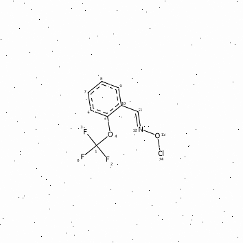 FC(F)(F)Oc1ccccc1C=NOCl